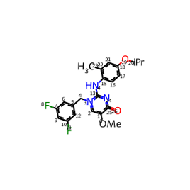 COc1cn(Cc2cc(F)cc(F)c2)c(Nc2ccc(OC(C)C)cc2C)nc1=O